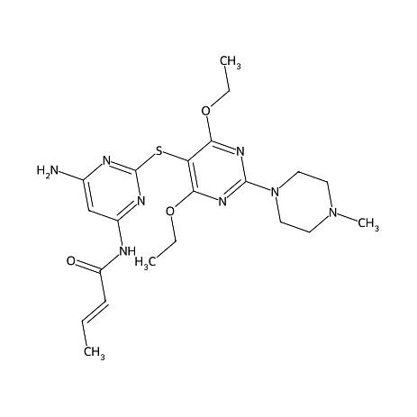 C/C=C/C(=O)Nc1cc(N)nc(Sc2c(OCC)nc(N3CCN(C)CC3)nc2OCC)n1